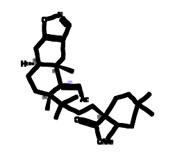 COC(=O)[C@]1(CCC(C)(C)[C@]2(C)CC[C@H]3Cc4oncc4C[C@]3(C)/C2=C/C(C)=O)CCC(C)(C)CC1C